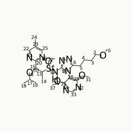 COCCCCc1nnc(N[S+]([O-])C(C)[C@@H](OC(C)C)c2ncc(C)cn2)n1-c1c(OC)ncnc1OC